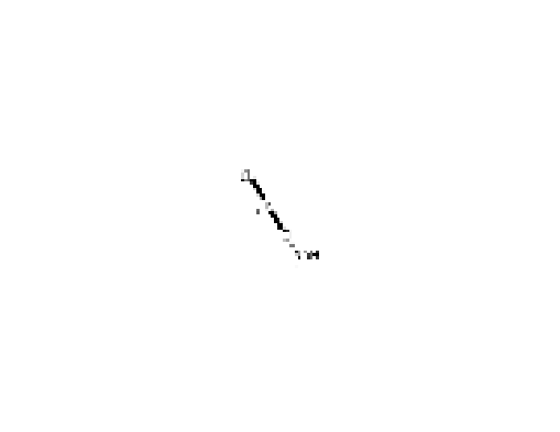 [Cl][Ir][Cl].[NaH]